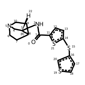 O=C(N[C@H]1CN2CCC1CC2)c1ccc(Sc2ccsc2)s1